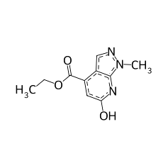 CCOC(=O)c1cc(O)nc2c1cnn2C